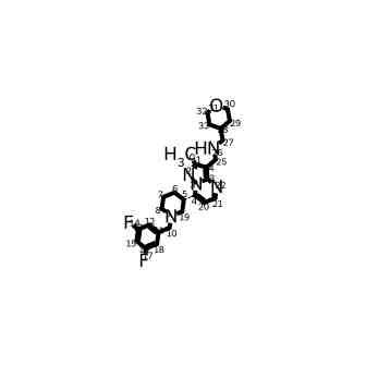 Cc1nn2c([C@H]3CCCN(Cc4cc(F)cc(F)c4)C3)ccnc2c1CNCC1CCOCC1